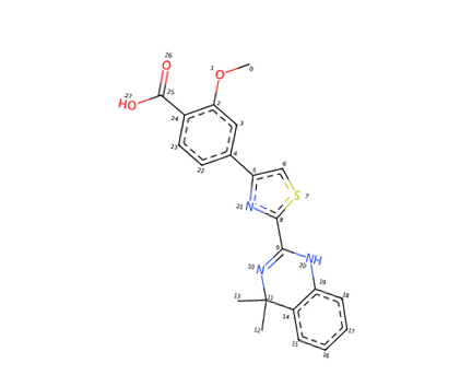 COc1cc(-c2csc(C3=NC(C)(C)c4ccccc4N3)n2)ccc1C(=O)O